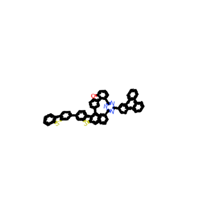 c1ccc(-c2nc(-c3ccc4c5ccccc5c5ccccc5c4c3)nc(-c3cccc4oc5ccc(-c6cccc7sc8cc(-c9ccc%10c(c9)sc9ccccc9%10)ccc8c67)cc5c34)n2)cc1